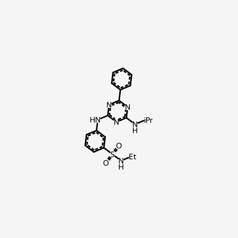 CCNS(=O)(=O)c1cccc(Nc2nc(NC(C)C)nc(-c3ccccc3)n2)c1